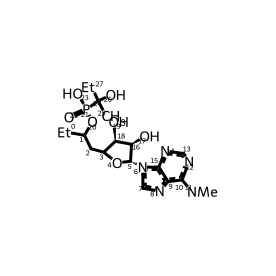 CCC(CC1O[C@@H](n2cnc3c(NC)ncnc32)[C@H](O)[C@@H]1O)OP(=O)(O)C(C)(O)CC